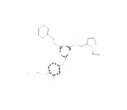 CCN1CCCC1CNc1nc(NCC2CCCCC2)nc(Nc2ccc(OCSC)c(F)c2)n1